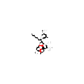 CCCCCCC(O)C(Sc1ncc([N+](=O)[O-])cc1C)(C(O)C(CC1CCCC1)Nc1ccc([N+](=O)[O-])c(CC)n1)C(O)N(CC)c1ccc([N+](=O)[O-])cn1